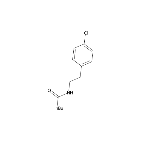 CCCCC(=O)NCCc1ccc(Cl)cc1